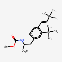 CC(C)(C)OC(=O)NC(Cc1ccc(C=C[Si](C)(C)C)c([Si](C)(C)C)c1)C(=O)O